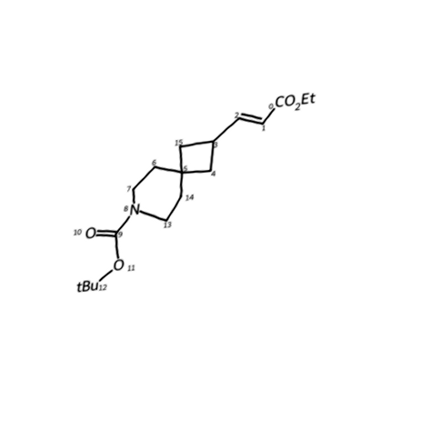 CCOC(=O)C=CC1CC2(CCN(C(=O)OC(C)(C)C)CC2)C1